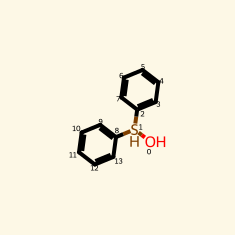 O[SH](c1ccccc1)c1ccccc1